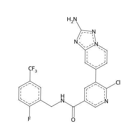 Nc1nc2cc(-c3cc(C(=O)NCc4cc(C(F)(F)F)ccc4F)cnc3Cl)ccn2n1